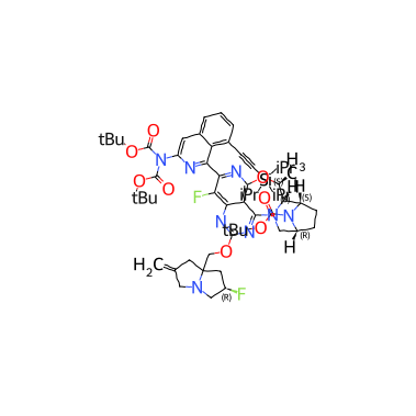 C=C1CN2C[C@H](F)CC2(COc2nc3c4c(nc(-c5nc(N(C(=O)OC(C)(C)C)C(=O)OC(C)(C)C)cc6cccc(C#C[Si](C(C)C)(C(C)C)C(C)C)c56)c(F)c4n2)O[C@@H](C)[C@@H]2[C@@H]4CC[C@H](CN32)N4C(=O)OC(C)(C)C)C1